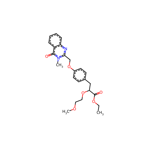 CCOC(=O)C(Cc1ccc(OCc2nc3ccccc3c(=O)n2C)cc1)OCCOC